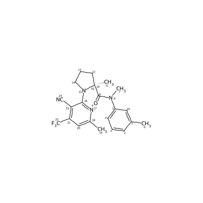 Cc1cccc(N(C)C(=O)[C@]2(C)CCCN2c2nc(C)cc(C(F)(F)F)c2C#N)c1